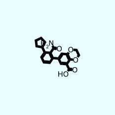 NC(=O)c1c(-c2cc3c(c(C(=O)O)c2)OCCO3)cccc1C1CCCC1